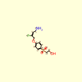 NC/C=C(/F)COc1ccc(S(=O)(=O)CCO)cc1